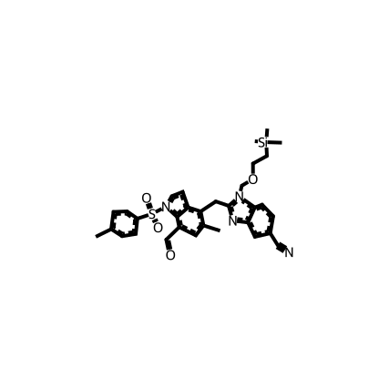 Cc1ccc(S(=O)(=O)n2ccc3c(Cc4nc5cc(C#N)ccc5n4COCC[Si](C)(C)C)c(C)cc(C=O)c32)cc1